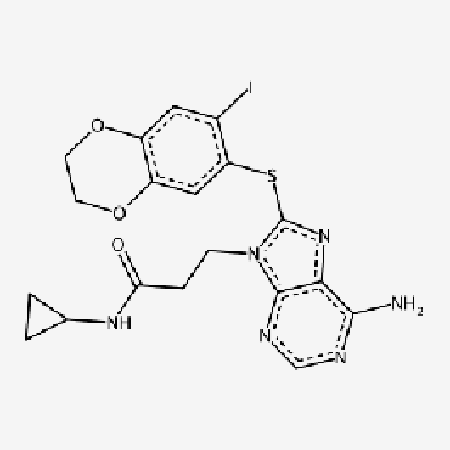 Nc1ncnc2c1nc(Sc1cc3c(cc1I)OCCO3)n2CCC(=O)NC1CC1